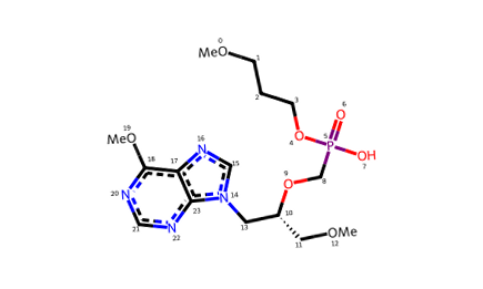 COCCCOP(=O)(O)CO[C@H](COC)Cn1cnc2c(OC)ncnc21